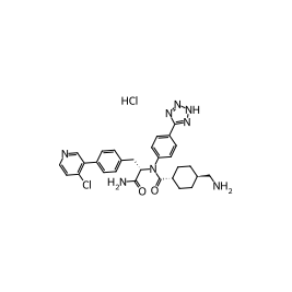 Cl.NC[C@H]1CC[C@H](C(=O)N(c2ccc(-c3nn[nH]n3)cc2)[C@@H](Cc2ccc(-c3cnccc3Cl)cc2)C(N)=O)CC1